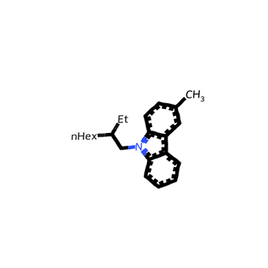 CCCCCCC(CC)Cn1c2ccccc2c2cc(C)ccc21